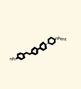 CCCCC[C@H]1CC[C@H](c2ccc(-c3ccc(CCc4ccc(CCC)cc4)cc3)cc2)CC1